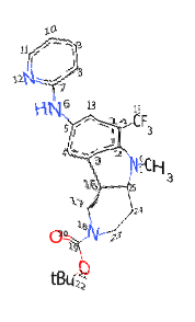 CN1c2c(cc(Nc3ccccn3)cc2C(F)(F)F)C2CN(C(=O)OC(C)(C)C)CCC21